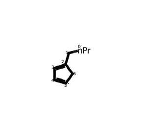 CCCCC1=CC=[C]C1